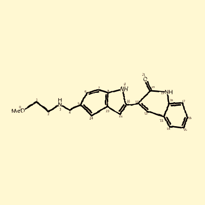 COCCNCc1ccc2[nH]c(-c3cc4ccccc4[nH]c3=O)cc2c1